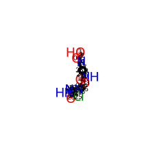 O=C(CO)/N=C/C1CCC(NC(=O)O[C@@H]2CCN(c3cn[nH]c(=O)c3Cl)C2)CC1